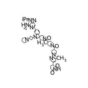 Cc1cc(C2CCC(=O)NC2=O)cnc1N1CCC(C(=O)N2CCC(C)(C(=O)N3CCC4(CC3)CN([C@H]3C[C@@H](N5CCCCC5)C3)c3cc(-c5cc6ncn(C(C)C)c6c(NC6CC6)n5)ccc34)CC2)CC1